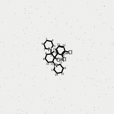 CC1(N2CCCCC2)CCCC(N2CCCCC2)C1(O)c1cccc(Cl)c1Cl